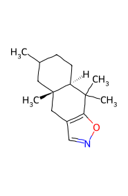 CC1CC[C@H]2C(C)(C)c3oncc3C[C@]2(C)C1